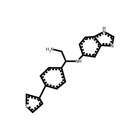 NCC(Nc1ccc2[nH]cnc2c1)c1ccc(-c2ccsc2)cc1